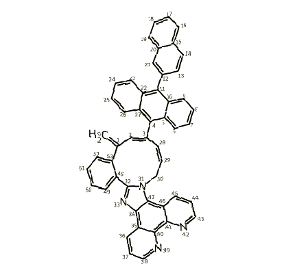 C=C1/C=C(c2c3ccccc3c(-c3ccc4ccccc4c3)c3ccccc23)\C=C/Cn2c(nc3c4cccnc4c4ncccc4c32)-c2ccccc21